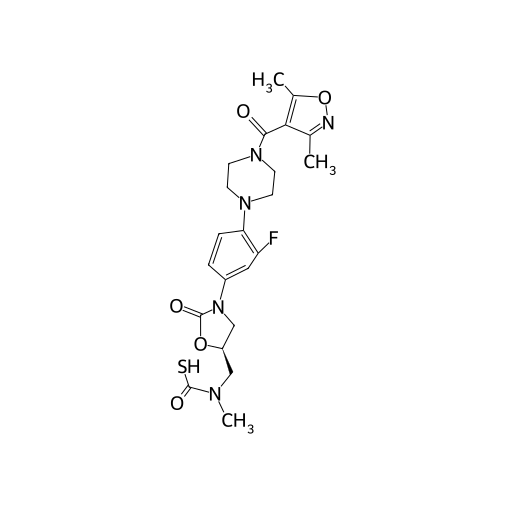 Cc1noc(C)c1C(=O)N1CCN(c2ccc(N3C[C@@H](CN(C)C(=O)S)OC3=O)cc2F)CC1